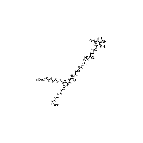 CCCCCCCCCCCCCCCCCCOC[C@H](COC(=O)NCCOCCOCCCNC(=O)CCCOC1OC(CO)C(O)C(O)C1C)OCCCCCCCCCCCCCCCCCC